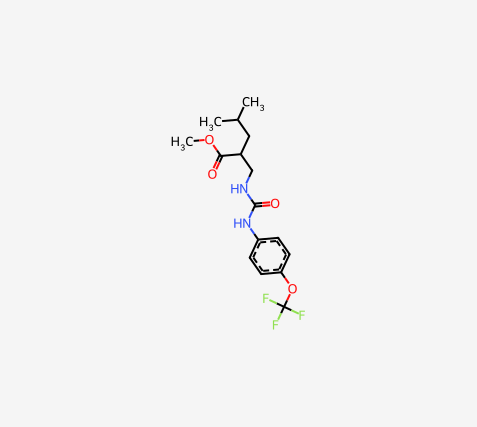 COC(=O)C(CNC(=O)Nc1ccc(OC(F)(F)F)cc1)CC(C)C